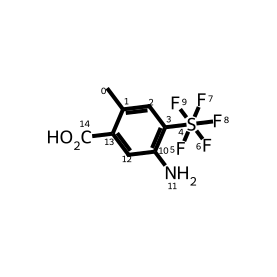 Cc1cc(S(F)(F)(F)(F)F)c(N)cc1C(=O)O